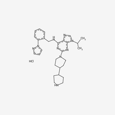 CC(C)n1cnc2c(NCc3ccccc3-n3cccn3)nc(N3CCC(C4CCNCC4)CC3)nc21.Cl